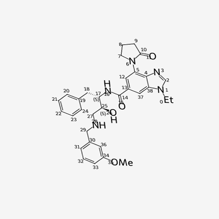 CCn1cnc2c(N3CCCC3=O)cc(C(=O)N[C@@H](Cc3ccccc3)[C@@H](O)CNCc3cccc(OC)c3)cc21